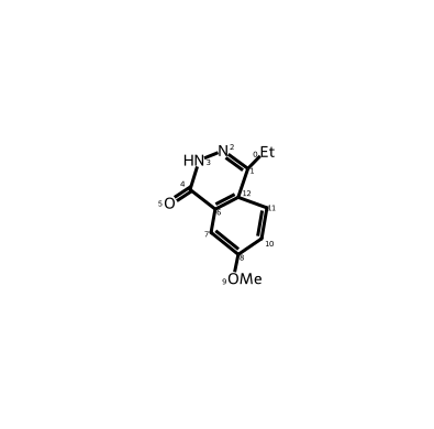 CCc1n[nH]c(=O)c2cc(OC)ccc12